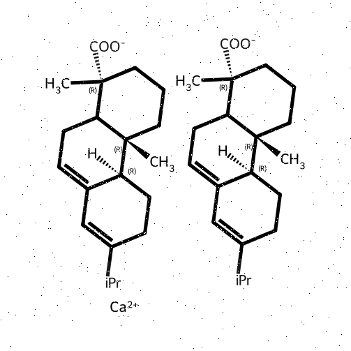 CC(C)C1=CC2=CCC3[C@](C)(C(=O)[O-])CCC[C@]3(C)[C@H]2CC1.CC(C)C1=CC2=CCC3[C@](C)(C(=O)[O-])CCC[C@]3(C)[C@H]2CC1.[Ca+2]